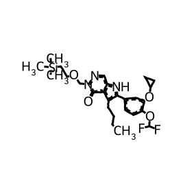 CCCCc1c(-c2ccc(OC(F)F)c(OC3CC3)c2)[nH]c2cnn(COCC[Si](C)(C)C)c(=O)c12